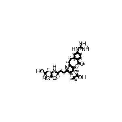 N=C(N)Nc1ccc2c(c1)CCc1nc(CCC(=O)N[C@@H](CC(=O)O)C(=O)O)ccc1OC2=O.O=C(O)C(F)(F)F